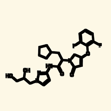 O=C(Nc1ccn(CC(O)CO)n1)C(CC1CCCC1)N1CC(Oc2c(F)cccc2F)=CC1=O